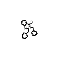 O=c1c2ccccc2nc(Cc2ccccc2)n1Cc1ccccc1